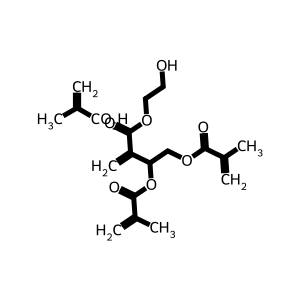 C=C(C)C(=O)O.C=C(C)C(=O)OCC(OC(=O)C(=C)C)C(=C)C(=O)OCCO